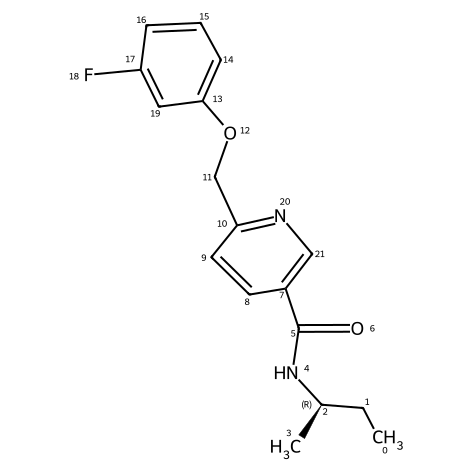 CC[C@@H](C)NC(=O)c1ccc(COc2cccc(F)c2)nc1